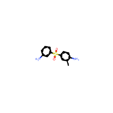 Cc1cc(S(=O)(=O)c2cccc(N)c2)ccc1N